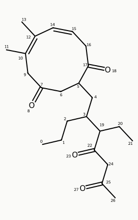 CCCC(CC1CC(=O)C/C(C)=C(C)\C=C/CC1=O)C(CC)C(=O)CC(C)=O